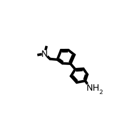 CN(C)Cc1cccc(-c2ccc(N)cc2)c1